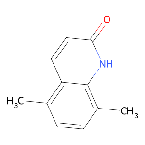 Cc1ccc(C)c2[nH]c(=O)ccc12